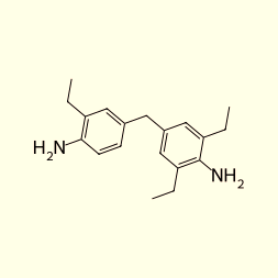 CCc1cc(Cc2cc(CC)c(N)c(CC)c2)ccc1N